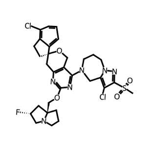 CS(=O)(=O)c1nn2c(c1Cl)CN(c1nc(OC[C@@]34CCCN3C[C@H](F)C4)nc3c1CO[C@@]1(CCc4c(Cl)cccc41)C3)CCC2